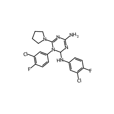 NC1=NC(Nc2ccc(F)c(Cl)c2)N(c2ccc(F)c(Cl)c2)C(N2CCCC2)=N1